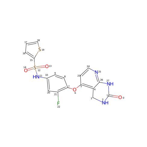 O=C1NCc2c(Oc3ccc(NS(=O)(=O)c4cccs4)cc3F)ccnc2N1